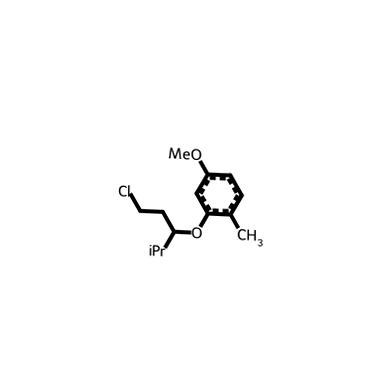 COc1ccc(C)c(OC(CCCl)C(C)C)c1